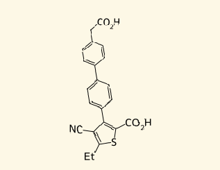 CCc1sc(C(=O)O)c(-c2ccc(-c3ccc(CC(=O)O)cc3)cc2)c1C#N